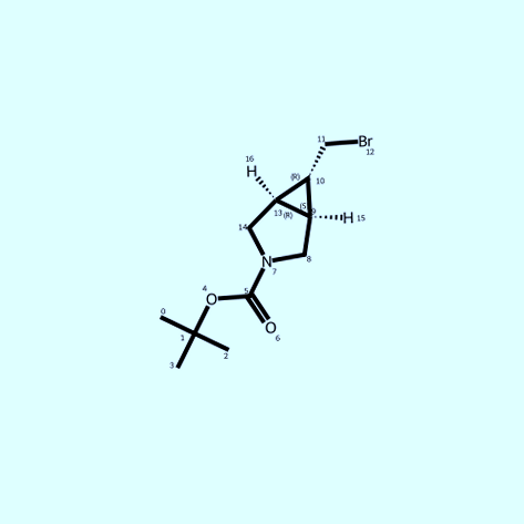 CC(C)(C)OC(=O)N1C[C@@H]2[C@@H](CBr)[C@@H]2C1